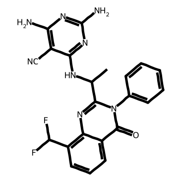 CC(Nc1nc(N)nc(N)c1C#N)c1nc2c(C(F)F)cccc2c(=O)n1-c1ccccc1